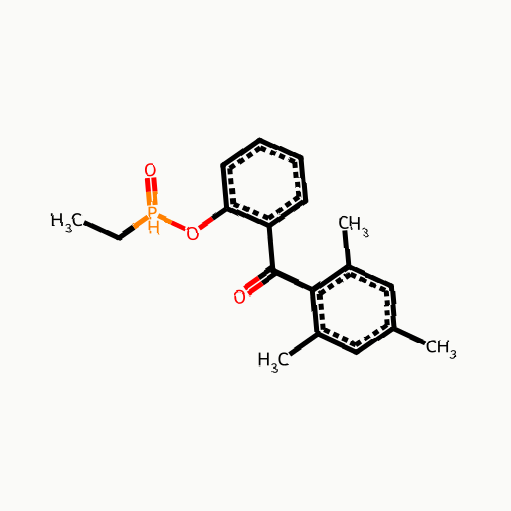 CC[PH](=O)Oc1ccccc1C(=O)c1c(C)cc(C)cc1C